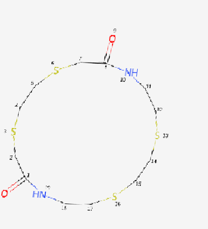 O=C1CSCCSCC(=O)NCCSCCSCCN1